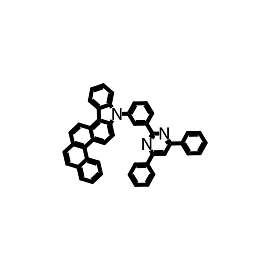 c1ccc(-c2cc(-c3ccccc3)nc(-c3cccc(-n4c5ccccc5c5c6ccc7ccc8ccccc8c7c6ccc54)c3)n2)cc1